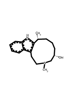 C[C@@H]1CCC[C@H](O)CN(C)CCc2c1[nH]c1ccccc21